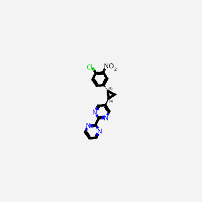 O=[N+]([O-])c1cc([C@@H]2C[C@H]2c2cnc(-c3ncccn3)nc2)ccc1Cl